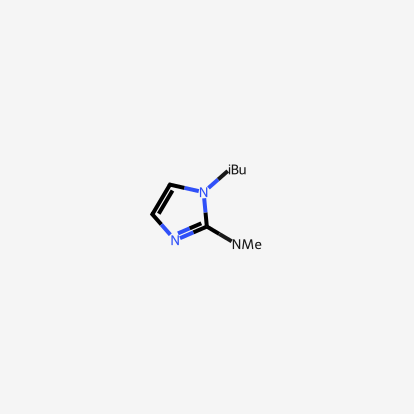 CCC(C)n1ccnc1NC